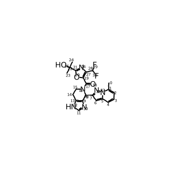 Cc1cccc2cc([C@H]3c4nc[nH]c4CCN3C(=O)c3oc(C(C)(C)O)nc3C(F)F)nn12